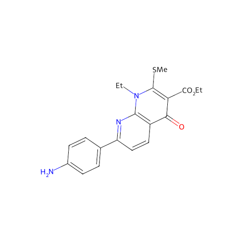 CCOC(=O)c1c(SC)n(CC)c2nc(-c3ccc(N)cc3)ccc2c1=O